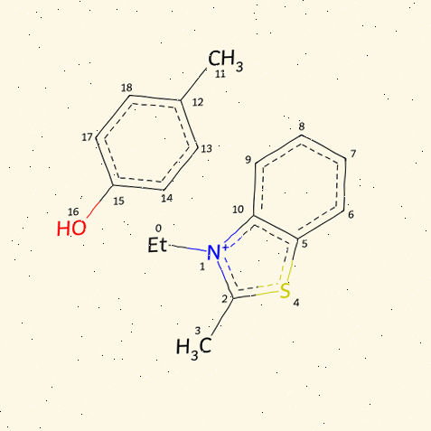 CC[n+]1c(C)sc2ccccc21.Cc1ccc(O)cc1